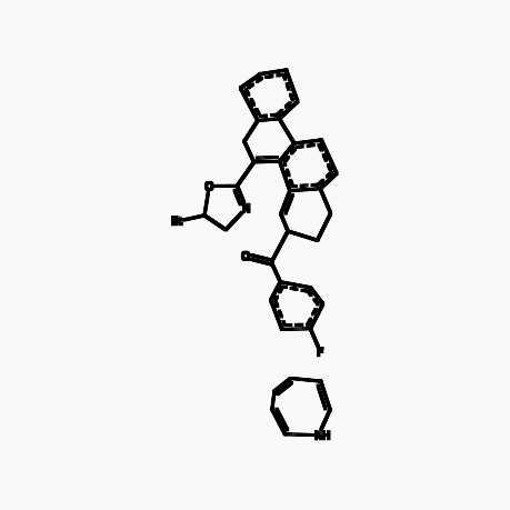 C1=CC=CNC=C1.CCC1CN=C(C2=c3c(ccc4c3=CC(C(=O)c3ccc(F)cc3)CC4)-c3ccccc3C2)O1